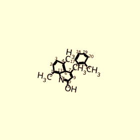 Cc1ccc(C)c2c(C)cc(O)nc12.Cc1ccccc1